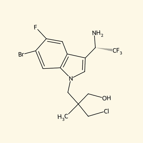 CC(CO)(CCl)Cn1cc([C@H](N)C(F)(F)F)c2cc(F)c(Br)cc21